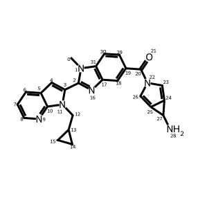 Cn1c(-c2cc3cccnc3n2CC2CC2)nc2cc(C(=O)n3cc4c(c3)C4N)ccc21